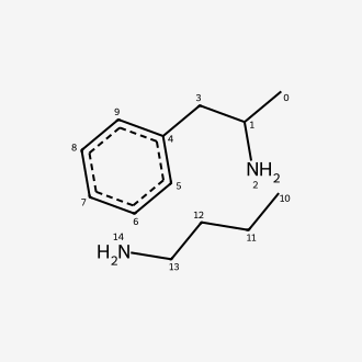 CC(N)Cc1ccccc1.CCCCN